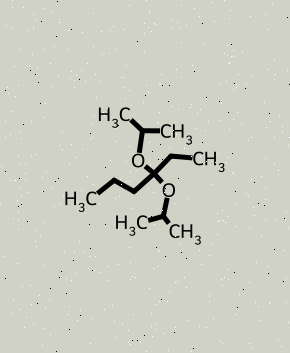 CCCC(CC)(OC(C)C)OC(C)C